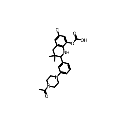 CC(=O)N1CCN(c2cccc(C3Nc4c(cc(Cl)cc4OC(=O)O)CC3(C)C)c2)CC1